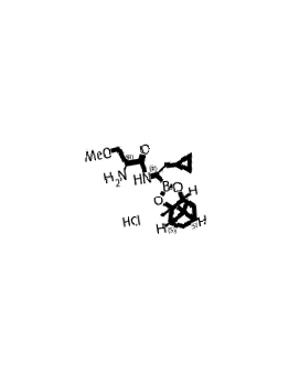 COC[C@@H](N)C(=O)N[C@@H](CC1CC1)B1O[C@@H]2C[C@@H]3C[C@@H](C3(C)C)[C@]2(C)O1.Cl